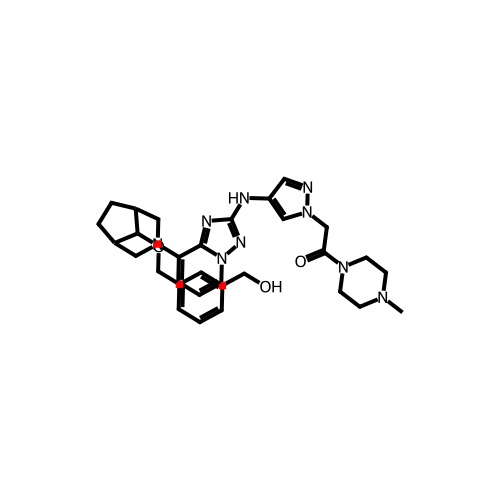 CN1CCN(C(=O)Cn2cc(Nc3nc4c(N5CC6CCC(C5)C6OCc5cccc(CO)c5)cccn4n3)cn2)CC1